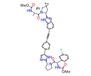 COC(=O)N[C@@H](C(=O)N1CCC[C@H]1c1ncc(-c2ccc(C#Cc3ccc4nc([C@@H]5CC6(CC6)CN5C(=O)[C@@](C)(NC(=O)OC)C(C)C)[nH]c4c3)cc2)[nH]1)c1cccc(F)c1